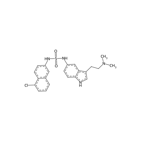 CN(C)CCc1c[nH]c2ccc(NS(=O)(=O)Nc3ccc4c(Cl)cccc4c3)cc12